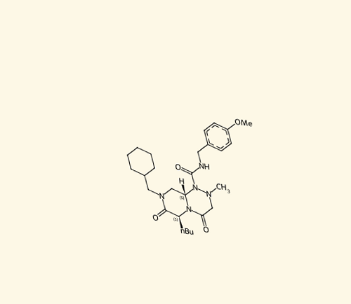 CCCC[C@H]1C(=O)N(CC2CCCCC2)C[C@H]2N1C(=O)CN(C)N2C(=O)NCc1ccc(OC)cc1